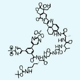 CC[C@@]1(O)C(=O)OCc2c1cc1n(c2=O)Cc2c-1nc1ccc(NC(=O)[C@H](C)NC(=O)[C@@H](NC(=O)CNC(=O)CNC(=O)[C@H](CCCCNC(=O)OC(C)(C)C)NC(=O)c3cc(-c4cnc(S(C)(=O)=O)nc4)cc(-c4cnc(S(C)(=O)=O)nc4)c3)C(C)C)c3c1c2CCC3